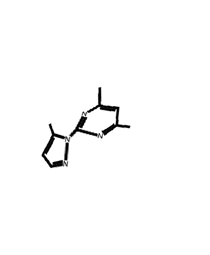 Cc1cc(C)nc(-n2nccc2C)n1